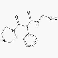 O=[C]CNC(=O)N(C(=O)N1CCNCC1)c1ccccc1